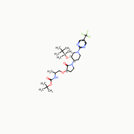 CC(CO[C@@H]1CCN([C@@H]2CCN(c3ncc(C(F)(F)F)cn3)C[C@H]2O[Si](C)(C)C(C)(C)C)C1=O)NC(=O)OC(C)(C)C